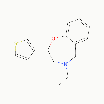 CCN1Cc2ccccc2OC(c2ccsc2)C1